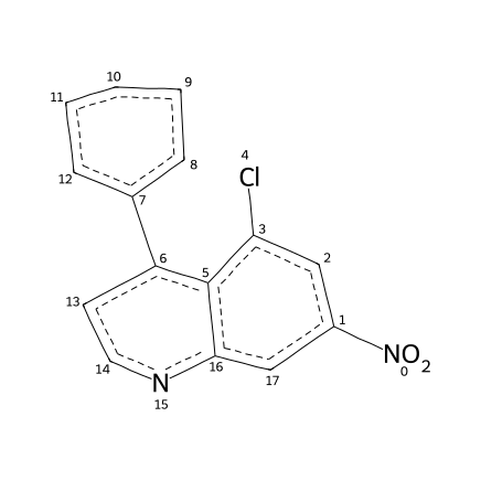 O=[N+]([O-])c1cc(Cl)c2c(-c3ccccc3)ccnc2c1